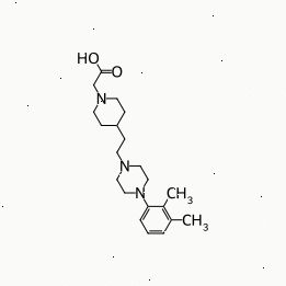 Cc1cccc(N2CCN(CCC3CCN(CC(=O)O)CC3)CC2)c1C